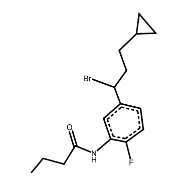 CCCC(=O)Nc1cc(C(Br)CCC2CC2)ccc1F